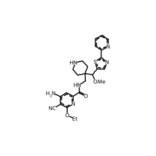 CCOc1nc(C(=O)NCC2(C(OC)c3cnc(-c4ccccn4)s3)CCNCC2)cc(N)c1C#N